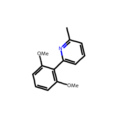 COc1cccc(OC)c1-c1cccc(C)n1